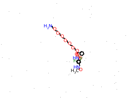 CC(=O)NCc1cc(F)c(NS(=O)(=O)C2CCCC=C2C(=O)OCCOCCOCCOCCOCCOCCOCCN)c(F)c1